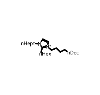 CCCCCCCCCCCCCC[n+]1ccn(CCCCCCC)c1CCCCCC